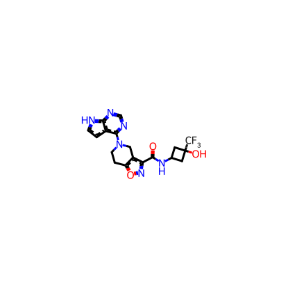 O=C(NC1CC(O)(C(F)(F)F)C1)c1noc2c1CN(c1ncnc3[nH]ccc13)CC2